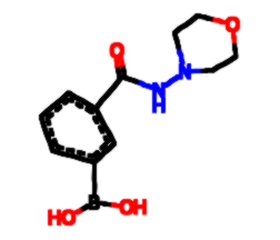 O=C(NN1CCOCC1)c1cccc(B(O)O)c1